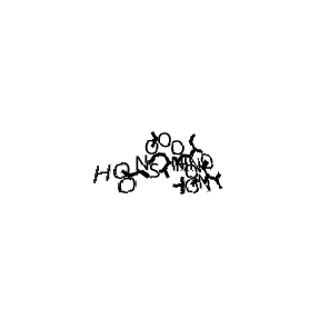 CCC(C)C(NC(=O)C(C(C)C)N(C)C(=O)OC(C)(C)C)C(=O)N(C)C(CC(OC(C)=O)c1nc(C(=O)O)cs1)C(C)C